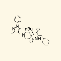 CCCCN1C(=O)C(CC2CCCCC2)NC(=O)C12CCN(Cc1c(C)nn(-c3ccccc3)c1C)CC2